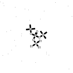 CC[Si](CC)(CC)OP(=O)(O[Si](C)(C)C)O[Si](C)(C)C